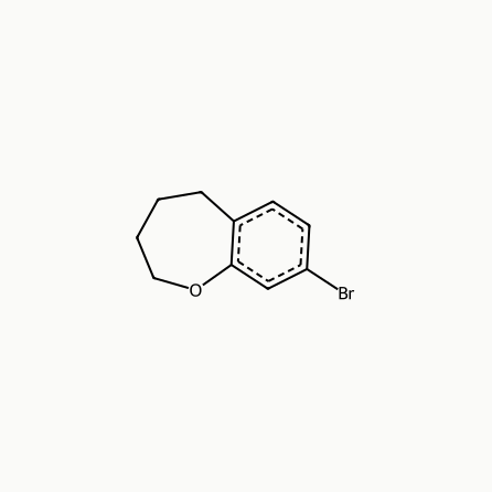 Brc1ccc2c(c1)OCCCC2